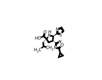 CC(C)C[C@@]1(C(=O)O)C[C@@H](c2noc(C3CC3)n2)[C@H](c2nccs2)N1